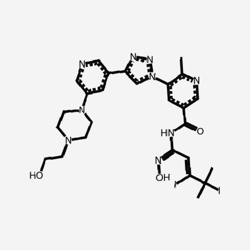 Cc1ncc(C(=O)NC(/C=C(\I)C(C)(C)I)=N/O)cc1-n1cc(-c2cncc(N3CCN(CCO)CC3)c2)nn1